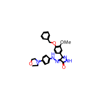 COc1cc(C2=NNC(=O)/C2=N/Nc2ccc(N3CCOCC3)cc2)ccc1OCc1ccccc1